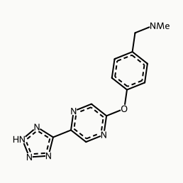 CNCc1ccc(Oc2cnc(-c3nn[nH]n3)cn2)cc1